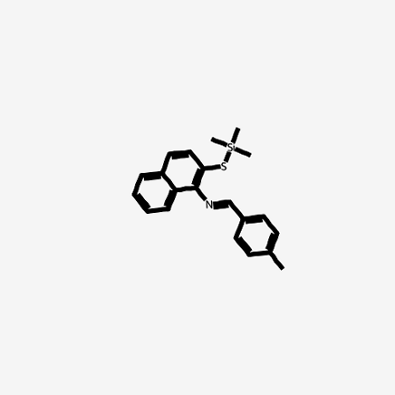 Cc1ccc(C=Nc2c(S[Si](C)(C)C)ccc3ccccc23)cc1